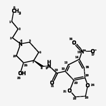 CCCCN1CC[C@@H](CNC(=O)c2cc([N+](=O)[O-])cc3c2OCCO3)C(O)C1